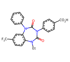 CCN1C(=O)N(c2ccc(C(=O)O)cc2)C(=O)N(c2ccccc2)c2cc(C(F)(F)F)ccc21